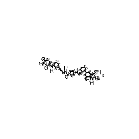 CC(C)c1cc(-c2cccc3cc(-c4ccc(C(=O)NCC#Cc5cccc(N[C@@H]6CCC(=O)NC6=O)c5)nc4)ncc23)cc2c1[nH]c(=O)n2C